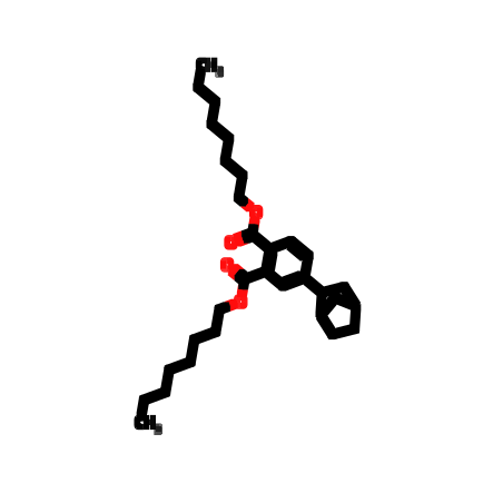 CCCCCCCCOC(=O)c1ccc(C2CC3CCC2C3)cc1C(=O)OCCCCCCCC